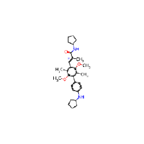 COc1c(C)c(-c2ccc(NC3CCCC3)cc2)c(OC)c(C)c1/C=C(\C)C(=O)NC1CCCC1